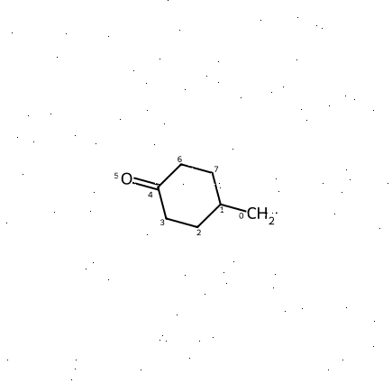 [CH2]C1CCC(=O)CC1